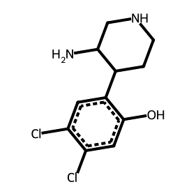 NC1CNCCC1c1cc(Cl)c(Cl)cc1O